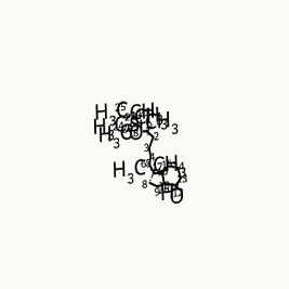 CC(CCC[C@@H](C)[C@H]1CC[C@H]2C(=O)CCC[C@]12C)O[Si](C)(C)C(C)(C)C